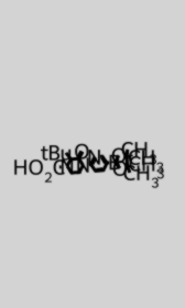 CC(C)(C)C1C(=O)N(c2ccc(B3OC(C)(C)C(C)(C)O3)cn2)CCN1C(=O)O